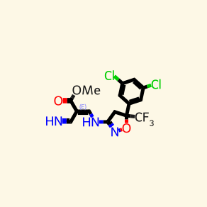 COC(=O)/C(C=N)=C/NC1=NOC(c2cc(Cl)cc(Cl)c2)(C(F)(F)F)C1